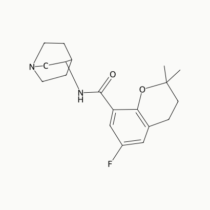 CC1(C)CCc2cc(F)cc(C(=O)NC3CN4CCC3CC4)c2O1